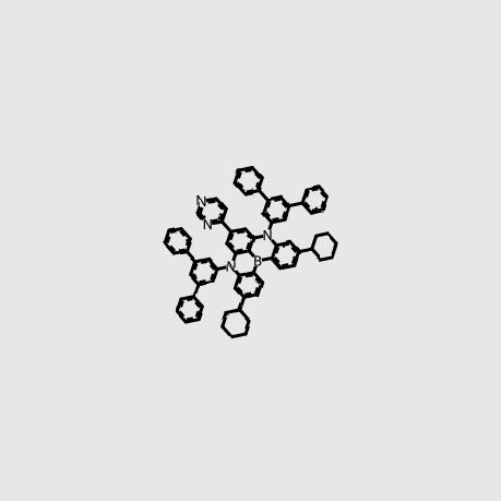 c1ccc(-c2cc(-c3ccccc3)cc(N3c4cc(C5CCCCC5)ccc4B4c5ccc(C6CCCCC6)cc5N(c5cc(-c6ccccc6)cc(-c6ccccc6)c5)c5cc(-c6ccncn6)cc3c54)c2)cc1